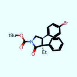 CC[C@]1(c2ccccc2)C(=O)N(C(=O)OC(C)(C)C)C[C@H]1c1ccc(Br)cc1